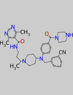 Cc1ncnc(C)c1C(=O)NCCC(C)N1CCC(N(Cc2cccc(C#N)c2)c2ccc(C(=O)N3CCNCC3)cc2)CC1